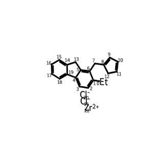 CCc1ccc2c(c1CC1=CC=CC1)Cc1ccccc1-2.[Cl-].[Cl-].[Zr+2]